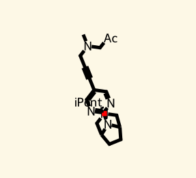 CCCC(C)N1CC2CCC(C1)N2c1ncc(C#CCN(C)CC(C)=O)cn1